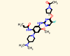 C=CC(=O)Nc1cc(Nc2ncc(F)c(O[C@H]3CCN(C(C)=O)C3)n2)c(OC)cc1N1CCC(N(C)C)CC1